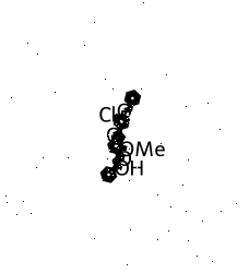 COc1c(C(=O)C=C(O)c2ccccc2)ccc2oc(-c3ccc(OCc4ccccc4)c(Cl)c3)cc12